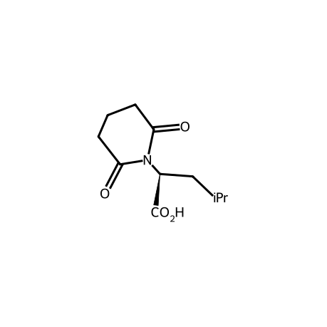 CC(C)C[C@@H](C(=O)O)N1C(=O)CCCC1=O